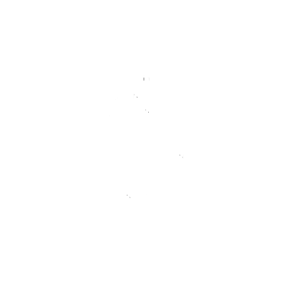 CC(C)n1nc(-c2cc(C(=O)N3CCOCC3)cnc2-c2ccccc2)ccc1=O